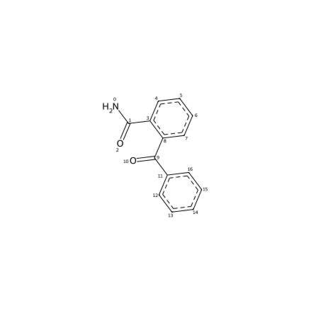 NC(=O)c1ccccc1C(=O)c1ccccc1